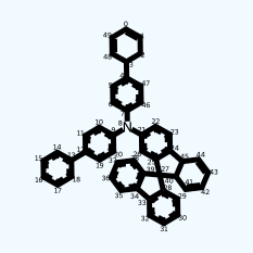 C1=CCC(c2ccc(N(c3ccc(-c4ccccc4)cc3)c3ccc4c(c3)C3(c5ccccc5-c5ccccc53)C3C=CC=CC43)cc2)C=C1